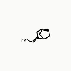 CCCC=C1CC2=CCC1C2